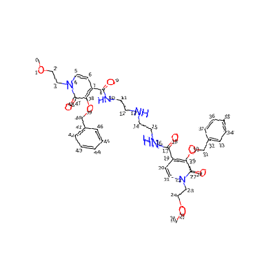 COCCn1ccc(C(=O)NCCNCCNC(=O)c2ccn(CCOC)c(=O)c2OCc2ccccc2)c(OCc2ccccc2)c1=O